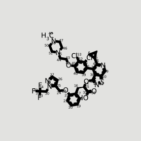 Cc1c(-c2c(C3CC3)ncc3snc(O[C@H](Cc4ccccc4OCc4ccnn4CC(F)(F)F)C(=O)O)c23)ccc(OCCN2CCN(C)CC2)c1Cl